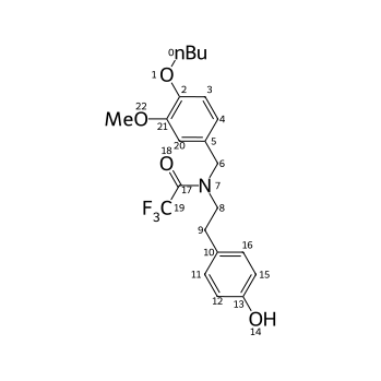 CCCCOc1ccc(CN(CCc2ccc(O)cc2)C(=O)C(F)(F)F)cc1OC